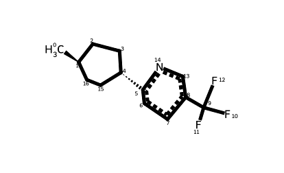 C[C@H]1CC[C@H](c2ccc(C(F)(F)F)cn2)CC1